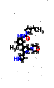 CC[C@@H]1CCN(C(=O)Nc2ccc(C)c(-c3cc(C4CCNC4)nc(N4CCOCC4)c3)c2)C1